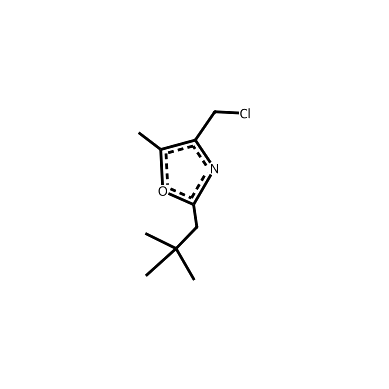 Cc1oc(CC(C)(C)C)nc1CCl